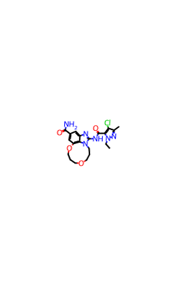 CCn1nc(C)c(Cl)c1C(=O)Nc1nc2cc(C(N)=O)cc3c2n1CCCOCCCO3